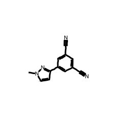 Cn1[c]cc(-c2cc(C#N)cc(C#N)c2)n1